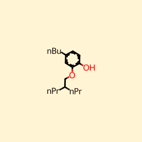 CCCCc1ccc(O)c(OCC(CCC)CCC)c1